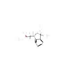 CC1(C)CC(C(C)(C)C(=O)O)c2ccccc21